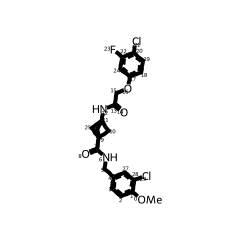 COc1ccc(CNC(=O)C23CC(NC(=O)COc4ccc(Cl)c(F)c4)(C2)C3)cc1Cl